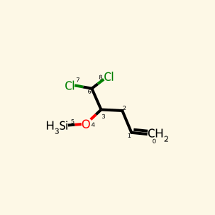 C=CCC(O[SiH3])C(Cl)Cl